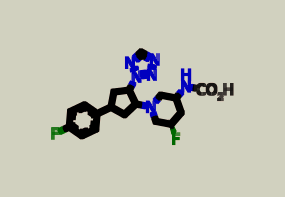 O=C(O)NC1C[C@@H](F)CN(C2CC(c3ccc(F)cc3)CC2n2ncnn2)C1